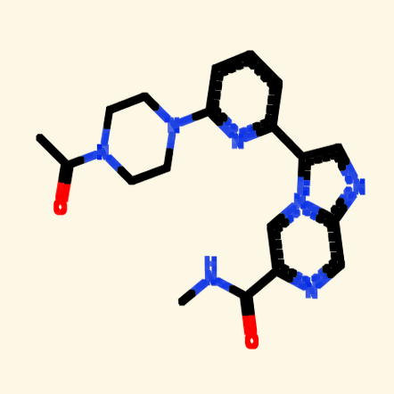 CNC(=O)c1cn2c(-c3cccc(N4CCN(C(C)=O)CC4)n3)cnc2cn1